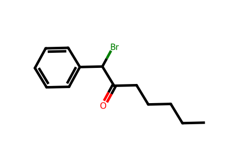 CCCCCC(=O)C(Br)c1ccccc1